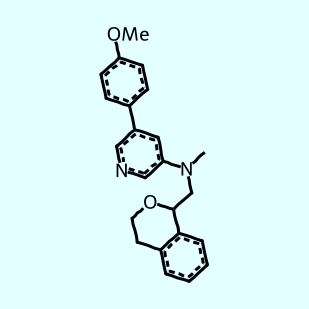 COc1ccc(-c2cncc(N(C)CC3OCCc4ccccc43)c2)cc1